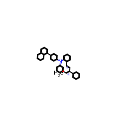 C=C/C=C(\C=C\c1ccccc1N(c1ccccc1)c1ccc(-c2cccc3ccccc23)cc1)c1ccccc1